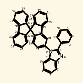 c1ccc(-c2nc3ccccc3n2-c2ccc3c(c2)-c2ccccc2C32c3ccccc3-c3ccccc32)cc1